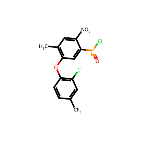 Cc1cc([N+](=O)[O-])c([PH](=O)Cl)cc1Oc1ccc(C(F)(F)F)cc1Cl